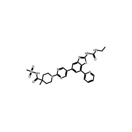 CCNC(=O)Nc1nc2cc(-c3cnc(N4CCC(C)(C(=O)NS(C)(=O)=O)CC4)nc3)cc(-c3ccccn3)c2s1